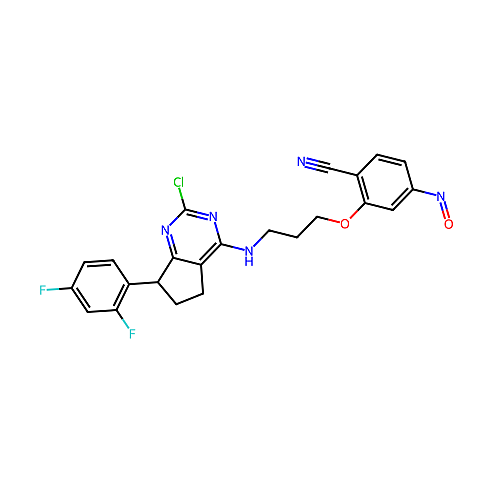 N#Cc1ccc(N=O)cc1OCCCNc1nc(Cl)nc2c1CCC2c1ccc(F)cc1F